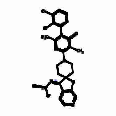 Cc1c(N2CCC3(CC2)Oc2cnccc2/C3=N\[S@@+]([O-])C(C)(C)C)nc(C)n(-c2cccc(Cl)c2Cl)c1=O